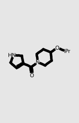 CC(C)OC1CCN(C(=O)C2=CCNC2)CC1